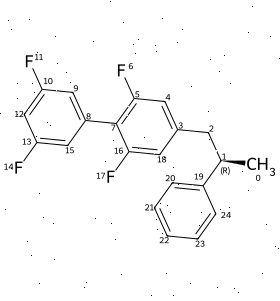 C[C@H](Cc1cc(F)c(-c2cc(F)cc(F)c2)c(F)c1)c1ccccc1